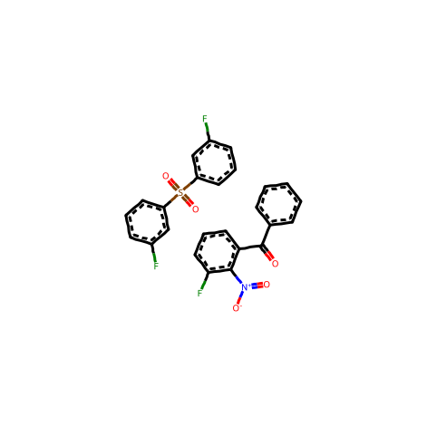 O=C(c1ccccc1)c1cccc(F)c1[N+](=O)[O-].O=S(=O)(c1cccc(F)c1)c1cccc(F)c1